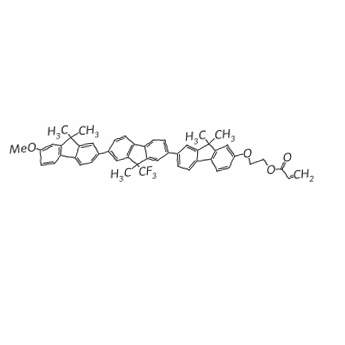 C=CC(=O)OCCOc1ccc2c(c1)C(C)(C)c1cc(-c3ccc4c(c3)C(C)(C(F)(F)F)c3cc(-c5ccc6c(c5)C(C)(C)c5cc(OC)ccc5-6)ccc3-4)ccc1-2